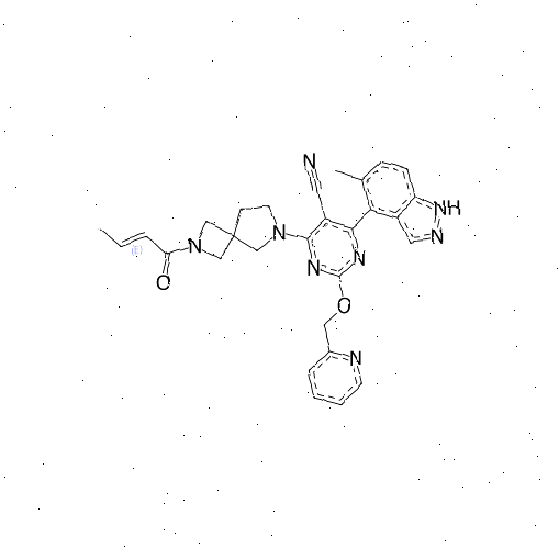 C/C=C/C(=O)N1CC2(CCN(c3nc(OCc4ccccn4)nc(-c4c(C)ccc5[nH]ncc45)c3C#N)C2)C1